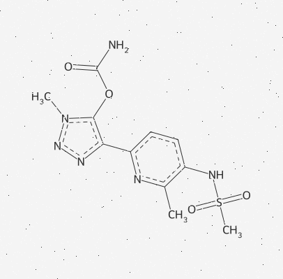 Cc1nc(-c2nnn(C)c2OC(N)=O)ccc1NS(C)(=O)=O